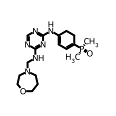 CP(C)(=O)C1=CC=C(Nc2ncnc(NCN3CCCOCC3)n2)CC1